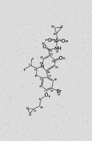 CC(C)C1Cc2cc(OCCC3CC3)c(Br)cc2-c2cc(=O)c(C(=O)NS(=O)(=O)C3CC3)cn21